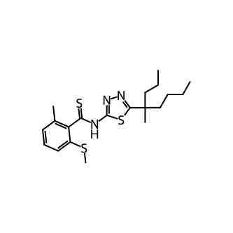 CCCCC(C)(CCC)c1nnc(NC(=S)c2c(C)cccc2SC)s1